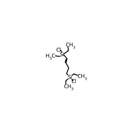 CC[Si](Cl)(/C=C/CC[Si](Cl)(CC)CC)CC